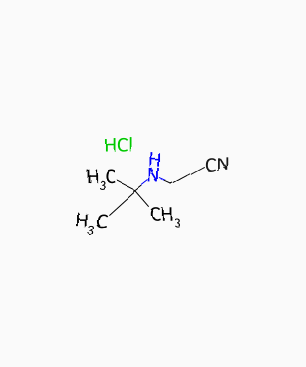 CC(C)(C)NCC#N.Cl